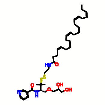 CC/C=C\C/C=C\C/C=C\C/C=C\C/C=C\C/C=C\CCC(=O)NCCSSC(C)(C)[C@H](COC[C@H](O)CO)NC(=O)c1cccnc1